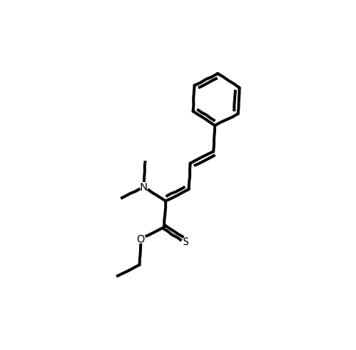 CCOC(=S)C(=CC=Cc1ccccc1)N(C)C